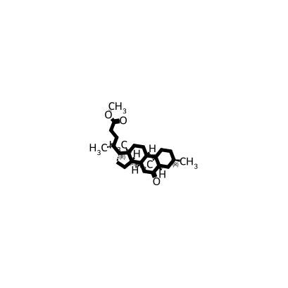 COC(=O)CC[C@@H](C)[C@H]1CC[C@H]2[C@@H]3CC(=O)[C@H]4C[C@H](C)CC[C@]4(C)[C@H]3CC[C@]12C